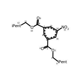 CCCC(C)COC(=O)c1cc(C(=O)OCC(C)CCC)cc([N+](=O)[O-])c1